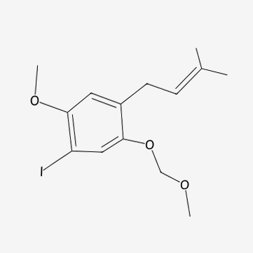 COCOc1cc(I)c(OC)cc1CC=C(C)C